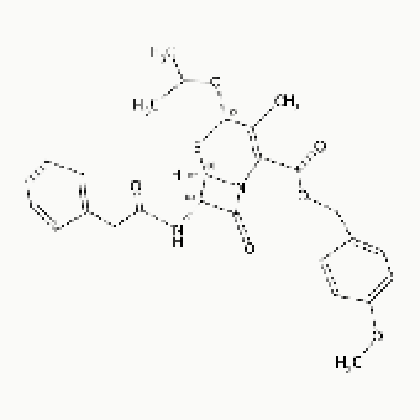 COc1ccc(COC(=O)C2=C(C)[C@@H](OC(C)C)S[C@@H]3[C@@H](NC(=O)Cc4ccccc4)C(=O)N23)cc1